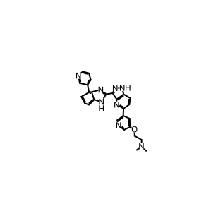 CN(C)CCOc1cncc(-c2ccc3[nH]nc(-c4nc5c(-c6cccnc6)cccc5[nH]4)c3n2)c1